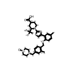 Cc1ccc(OCc2ccc(CN3CC[S+]([O-])CC3)cc2C)c(-c2csc(N3CCC(C(=O)O)CC3C(F)(F)F)n2)c1